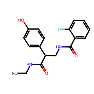 N#CCNC(=O)C(CNC(=O)c1ccccc1F)c1ccc(O)cc1